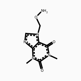 Cn1c(=O)c2c(ncn2CON)n(C)c1=O